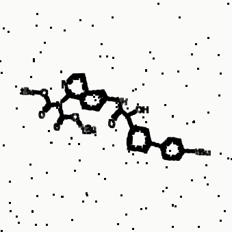 CC(C)(C)OC(=O)N(C(=O)OC(C)(C)C)c1nccc2cc(NC(=O)C(O)c3cccc(-c4ccc(C(C)(C)C)cc4)c3)ccc12